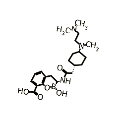 CN(C)CCN(C)[C@H]1CC[C@H](CC(=O)N[C@H]2Cc3cccc(C(=O)O)c3OB2O)CC1